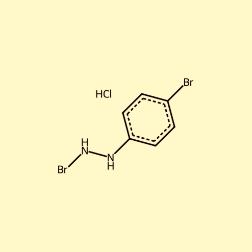 BrNNc1ccc(Br)cc1.Cl